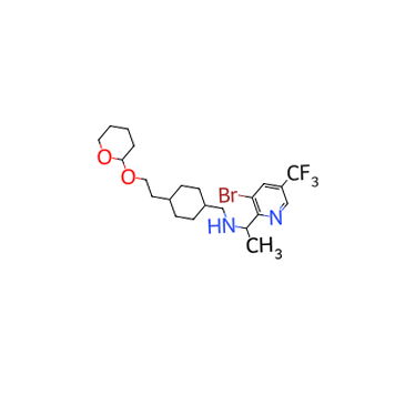 CC(NCC1CCC(CCOC2CCCCO2)CC1)c1ncc(C(F)(F)F)cc1Br